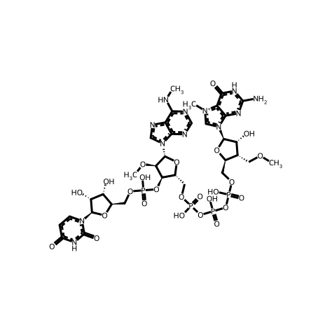 CNc1ncnc2c1ncn2[C@@H]1O[C@H](COP(=O)(O)OP(=O)(O)OP(=O)(O)OC[C@H]2O[C@@H](n3c[n+](C)c4c(=O)[nH]c(N)nc43)[C@H](O)[C@@H]2COC)[C@@H](OP(=O)(O)OC[C@H]2O[C@@H](n3ccc(=O)[nH]c3=O)[C@H](O)[C@@H]2O)[C@H]1OC